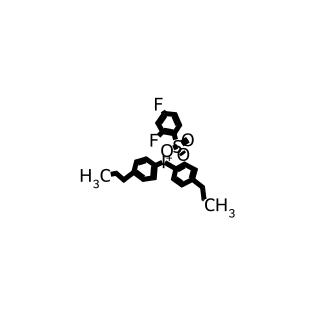 CCCc1ccc([I+](OS(=O)(=O)c2ccc(F)cc2F)c2ccc(CCC)cc2)cc1